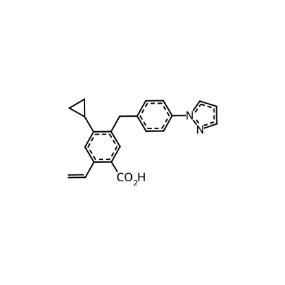 C=Cc1cc(C2CC2)c(Cc2ccc(-n3cccn3)cc2)cc1C(=O)O